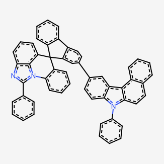 c1ccc(-c2nc3cccc4c3n2-c2ccccc2C42c3ccccc3-c3ccc(-c4ccc5c(c4)c4c6ccccc6ccc4n5-c4ccccc4)cc32)cc1